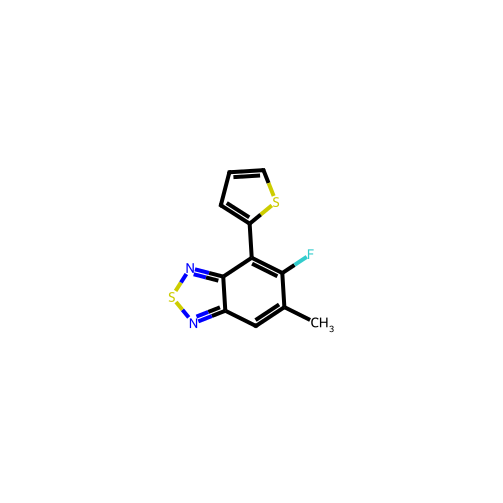 Cc1cc2nsnc2c(-c2cccs2)c1F